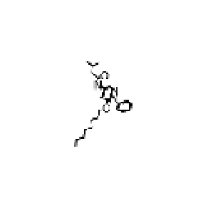 CCCCCCCCOc1cc(=NC(=O)CC(C)C)cnn1-c1ccccc1